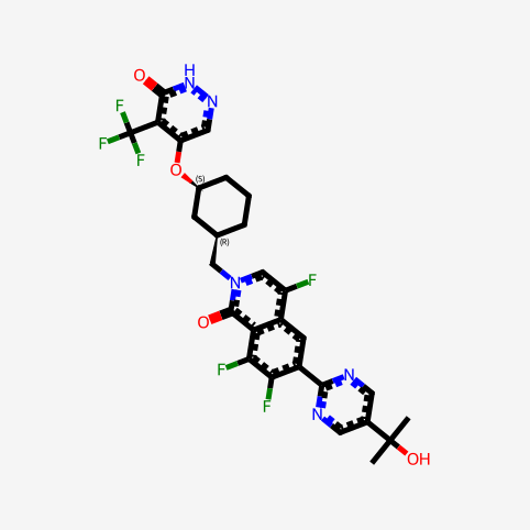 CC(C)(O)c1cnc(-c2cc3c(F)cn(C[C@@H]4CCC[C@H](Oc5cn[nH]c(=O)c5C(F)(F)F)C4)c(=O)c3c(F)c2F)nc1